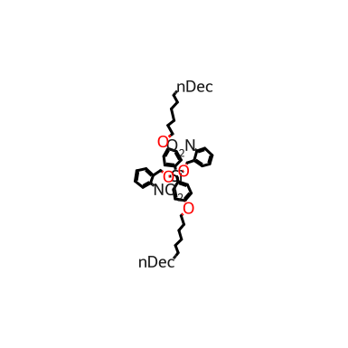 CCCCCCCCCCCCCCCCOc1ccc([Si](OCc2ccccc2[N+](=O)[O-])(OCc2ccccc2[N+](=O)[O-])c2ccc(OCCCCCCCCCCCCCCCC)cc2)cc1